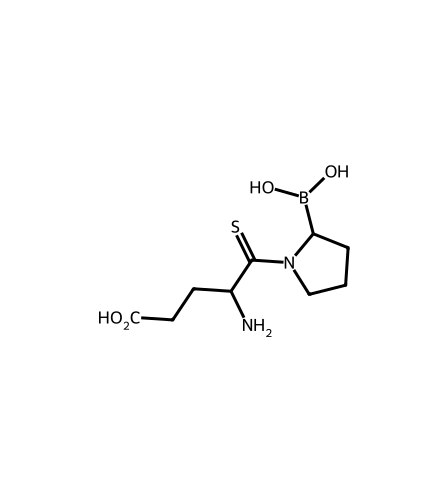 NC(CCC(=O)O)C(=S)N1CCCC1B(O)O